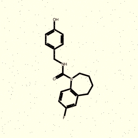 O=C(NCc1ccc(O)cc1)N1CCCCc2cc(F)ccc21